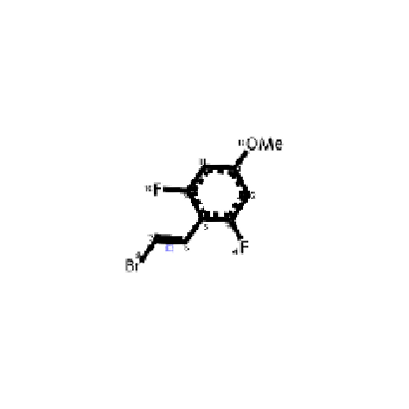 COc1cc(F)c(/C=C/Br)c(F)c1